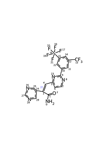 NC(=O)/C(=C\c1ccnc(-c2cc(C(F)(F)F)cc(S(F)(F)(F)(F)F)c2)n1)c1cncnc1